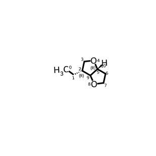 CC[C@@H]1CO[C@@H]2CCOC12